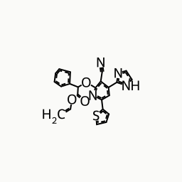 C=COC(=O)C(Oc1nc(-c2cccs2)cc(-c2ncc[nH]2)c1C#N)c1ccccc1